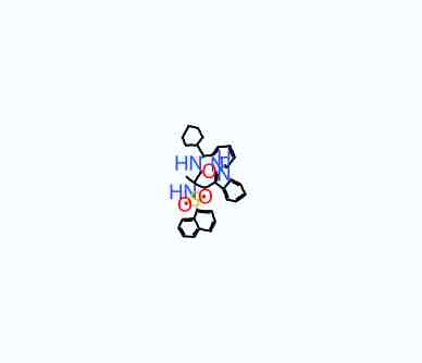 CC(Cc1c[nH]c2ccccc12)(NS(=O)(=O)c1cccc2ccccc12)C(=O)NC(c1ccccn1)C1CCCCC1